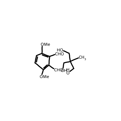 CC(CO)(CO)CO.COc1ccc(OC)c(C=O)c1C=O